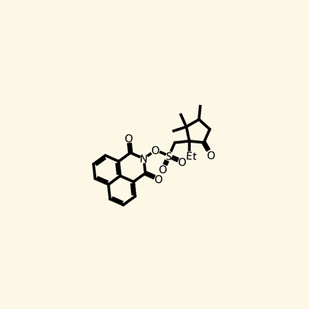 CCC1(CS(=O)(=O)ON2C(=O)c3cccc4cccc(c34)C2=O)C(=O)CC(C)C1(C)C